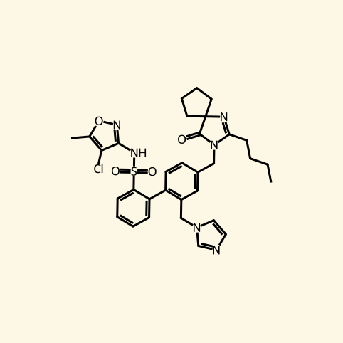 CCCCC1=NC2(CCCC2)C(=O)N1Cc1ccc(-c2ccccc2S(=O)(=O)Nc2noc(C)c2Cl)c(Cn2ccnc2)c1